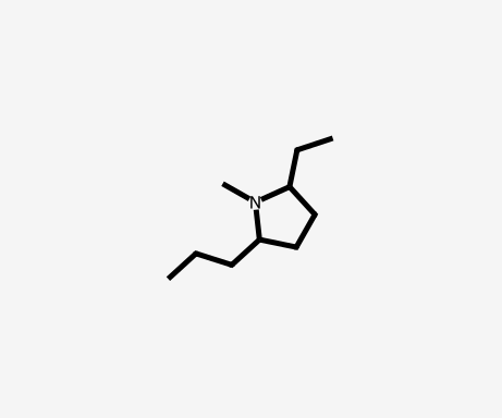 CCCC1CCC(CC)N1C